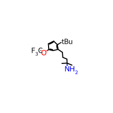 CC(C)(N)CCCc1cc(OC(F)(F)F)ccc1C(C)(C)C